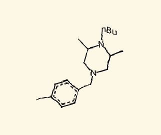 CCCCN1C(C)CN(Cc2ccc(C)cc2)CC1C